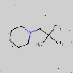 CC(C)(C)CN1CCCCC1